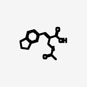 CC(=O)SCC(=Cc1ccc2c(c1)CCC2)C(=O)O